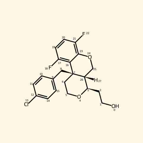 OCC[C@H]1OCC[C@]2(Cc3ccc(Cl)cc3)c3c(F)ccc(F)c3OC[C@H]12